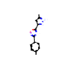 Cc1cc(-c2nc(-c3ccc(C(C)C)cc3)no2)n[nH]1